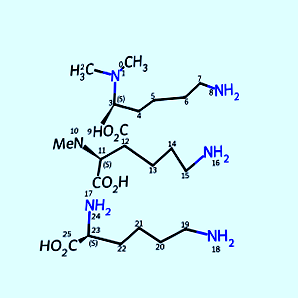 CN(C)[C@@H](CCCCN)C(=O)O.CN[C@@H](CCCCN)C(=O)O.NCCCC[C@H](N)C(=O)O